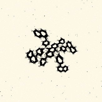 c1ccc(-c2ccc3c(N(c4ccc(-c5cccc6ccccc56)cc4)c4ccc(-c5cccc6ccccc56)cc4)c4cc(-c5ccccc5)ccc4c(N(c4ccc(-c5cccc6ccccc56)cc4)c4ccc(-c5cccc6ccccc56)cc4)c3c2)cc1